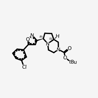 CC(C)(C)OC(=O)N1CCN2[C@@H](CC[C@@H]2c2cc(-c3cccc(Cl)c3)on2)C1